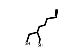 C=CCCCC(CS)CS